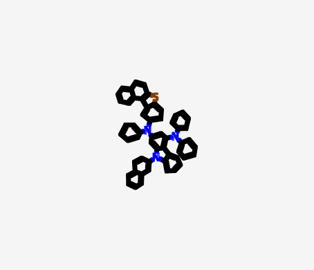 c1ccc(N(c2ccc3sc4ccc5ccccc5c4c3c2)c2cc(N(c3ccccc3)c3ccccc3)c3c4ccccc4n(-c4ccc5ccccc5c4)c3c2)cc1